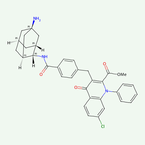 COC(=O)c1c(Cc2ccc(C(=O)N[C@H]3[C@@H]4C[C@H]5C[C@H]3C[C@](N)(C5)C4)cc2)c(=O)c2ccc(Cl)cc2n1-c1ccccc1